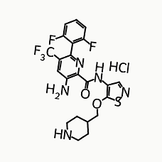 Cl.Nc1cc(C(F)(F)F)c(-c2c(F)cccc2F)nc1C(=O)Nc1cnsc1OCC1CCNCC1